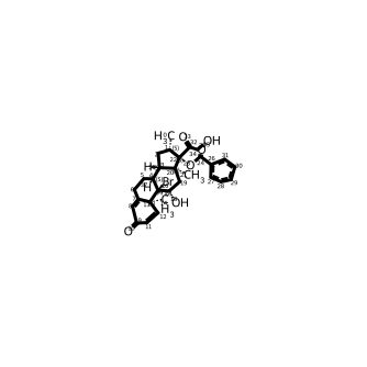 C[C@H]1C[C@H]2[C@@H]3CCC4=CC(=O)C=C[C@]4(C)[C@@]3(Br)[C@@H](O)C[C@]2(C)[C@]1(OC(=O)c1ccccc1)C(=O)CO